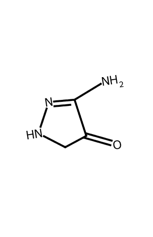 NC1=NNCC1=O